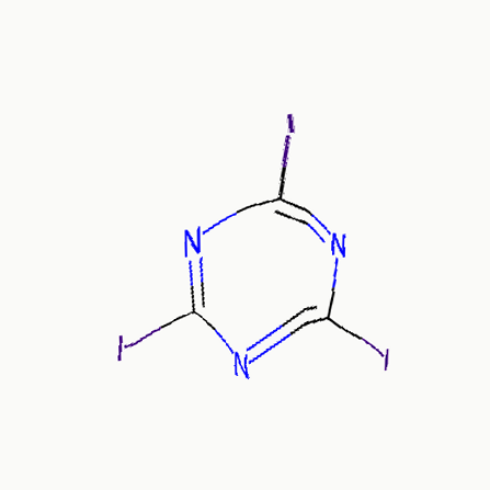 Ic1nc(I)nc(I)n1